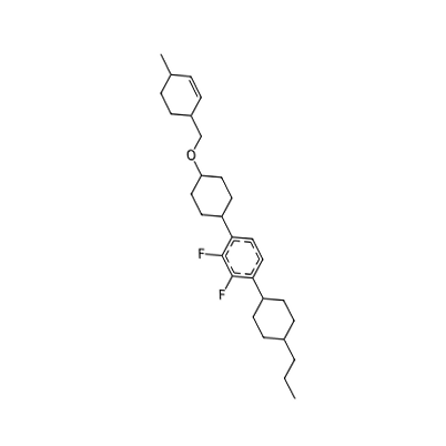 CCCC1CCC(c2ccc(C3CCC(OCC4C=CC(C)CC4)CC3)c(F)c2F)CC1